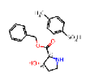 Cc1ccc(S(=O)(=O)O)cc1.O=C(OCc1ccccc1)[C@H]1NCC[C@@H]1O